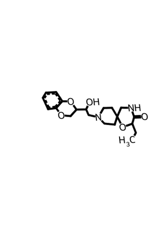 CCC1OC2(CCN(CC(O)C3COc4ccccc4O3)CC2)CNC1=O